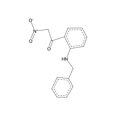 O=C(C[N+](=O)[O-])c1ccccc1NCc1ccccc1